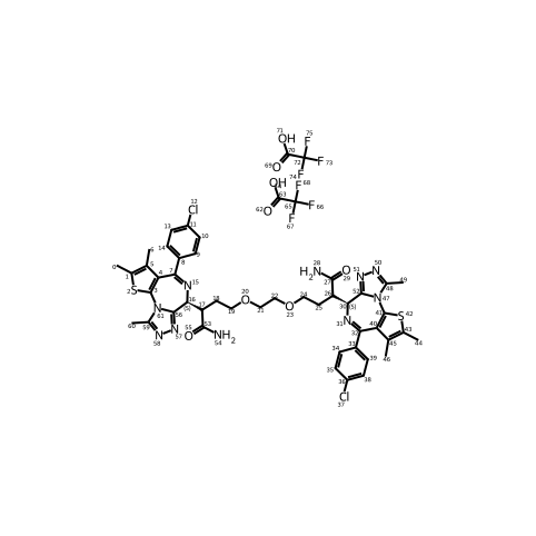 Cc1sc2c(c1C)C(c1ccc(Cl)cc1)=N[C@@H](C(CCOCCOCCC(C(N)=O)[C@@H]1N=C(c3ccc(Cl)cc3)c3c(sc(C)c3C)-n3c(C)nnc31)C(N)=O)c1nnc(C)n1-2.O=C(O)C(F)(F)F.O=C(O)C(F)(F)F